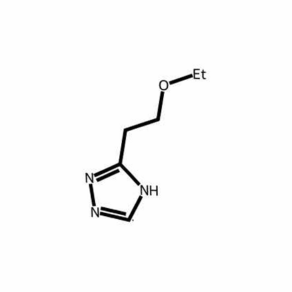 CCOCCc1nn[c][nH]1